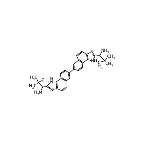 CC(C)(C)C(N)c1nc2ccc3cc(-c4ccc5c(ccc6nc(C(N)C(C)(C)C)[nH]c65)c4)ccc3c2[nH]1